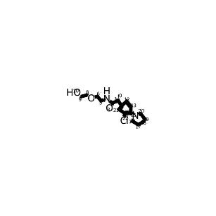 C[C@@H](C(=O)NCCOCCO)c1ccc(N2CCCCC2)c(Cl)c1